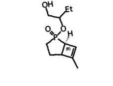 CCC(CO)OP1(=O)CCC2C(C)=C[C@@H]21